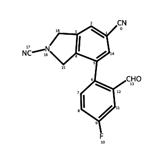 N#Cc1cc2c(c(-c3ccc(F)cc3C=O)c1)CN(C#N)C2